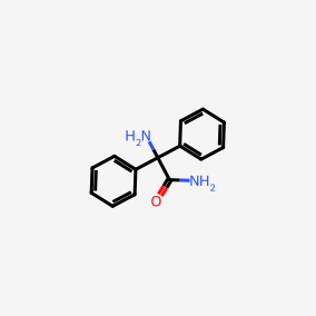 NC(=O)C(N)(c1ccccc1)c1ccccc1